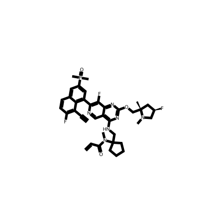 C#Cc1c(F)ccc2cc(P(C)(C)=O)cc(-c3ncc4c(NCC5(N(C)C(=O)C=C)CCCC5)nc(OC[C@]5(C)C[C@@H](F)CN5C)nc4c3F)c12